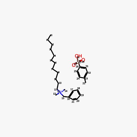 CCCCCCCCCCCC[N+](C)(C)Cc1ccccc1.Cc1ccc(S(=O)(=O)O)cc1